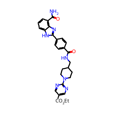 CCOC(=O)c1cnc(N2CCC(CNC(=O)c3ccc(-c4nc5c(C(N)=O)cccc5[nH]4)cc3)CC2)nc1